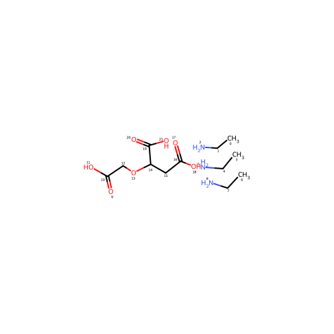 CCN.CCN.CCN.O=C(O)COC(CC(=O)O)C(=O)O